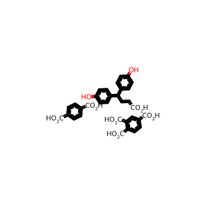 O=C(O)CCC(c1ccc(O)cc1)c1ccc(O)cc1.O=C(O)c1ccc(C(=O)O)c(C(=O)O)c1.O=C(O)c1ccc(C(=O)O)cc1